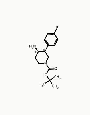 CC(C)(C)OC(=O)N1CC[C@@H](N)[C@@H](c2ccc(F)cc2)C1